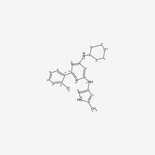 Cc1cc(Nc2cc(NC3CCOCC3)nc(-c3ccccc3Cl)n2)n[nH]1